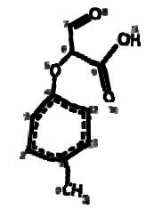 Cc1ccc(OC(C=O)C(=O)O)cc1